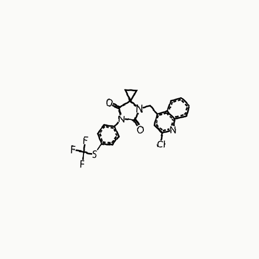 O=C1N(c2ccc(SC(F)(F)F)cc2)C(=O)C2(CC2)N1Cc1cc(Cl)nc2ccccc12